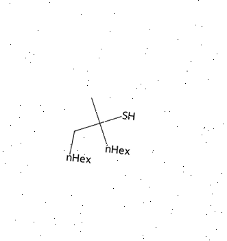 CCCCCCCC(C)(S)CCCCCC